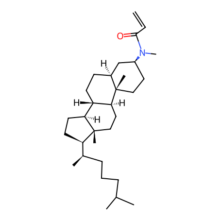 C=CC(=O)N(C)[C@H]1CC[C@@]2(C)[C@@H](CC[C@@H]3[C@@H]2CC[C@]2(C)[C@@H]([C@H](C)CCCC(C)C)CC[C@@H]32)C1